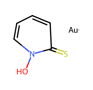 On1ccccc1=S.[Au]